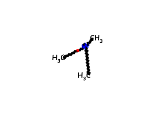 CCCCCCCCCCCCCCCCCCC1N(CCCCCC)C=CN1CCCCCCCCCCCCCC